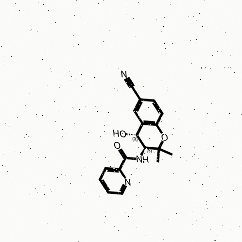 CC1(C)Oc2ccc(C#N)cc2[C@@H](O)[C@@H]1NC(=O)c1ccccn1